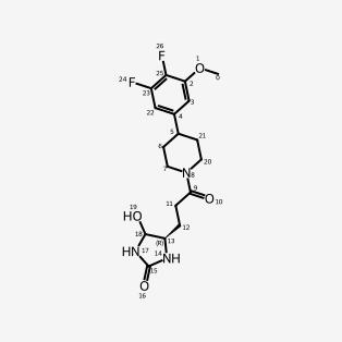 COc1cc(C2CCN(C(=O)CC[C@H]3NC(=O)NC3O)CC2)cc(F)c1F